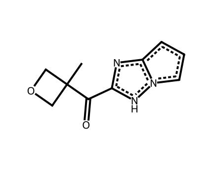 CC1(C(=O)c2nc3cccn3[nH]2)COC1